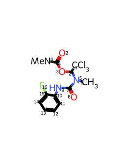 CNC(=O)OC(N(C)C(=O)Nc1ccccc1F)C(Cl)(Cl)Cl